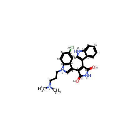 CN(C)CCCn1cc(C2=C(c3c[nH]c4ccccc34)C(=O)NC2=O)c2cc(Cl)ccc21